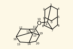 C1C2CC3CC1CC(C2)C3OC1C2CC3CC(C2)CC1C3